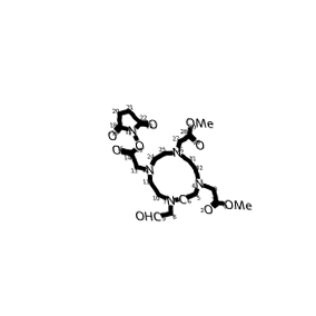 COC(=O)CN1CCN(CC=O)CCN(CC(=O)ON2C(=O)CCC2=O)CCN(CC(=O)OC)CC1